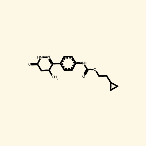 CC1CC(=O)NN=C1c1ccc(NC(=O)OCCC2CC2)cc1